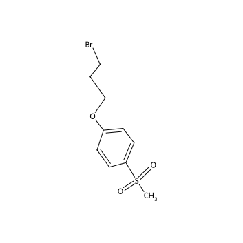 CS(=O)(=O)c1ccc(OCCCBr)cc1